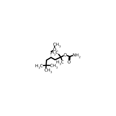 COC[C@@H](CC(C)(C)C)CC(C)(C)OC(N)=O